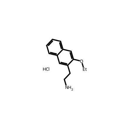 CCOc1cc2ccccc2cc1CCN.Cl